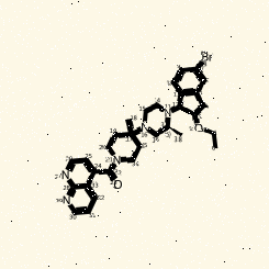 CCOC1Cc2cc(Br)ccc2C1N1CCN(C2(C)CCN(C(=O)c3ccnc4ncccc34)CC2)C[C@@H]1C